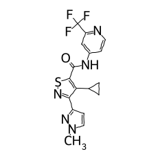 Cn1ccc(-c2nsc(C(=O)Nc3ccnc(C(F)(F)F)c3)c2C2CC2)n1